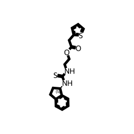 O=C(Cc1cccs1)OCCNC(=S)N[C@H]1CCc2ccccc21